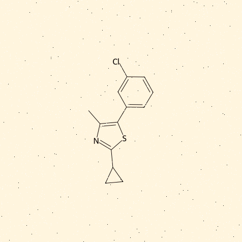 Cc1nc(C2CC2)sc1-c1cccc(Cl)c1